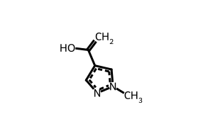 C=C(O)c1cnn(C)c1